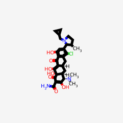 CC1CCN(CC2CC2)C1c1cc(O)c2c(c1Cl)C[C@H]1C[C@H]3[C@H](N(C)C)C(O)=C(C(N)=O)C(=O)[C@@]3(O)C(O)=C1C2=O